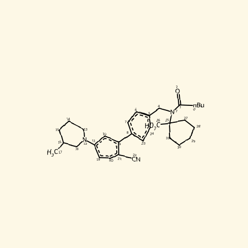 CCCCC(=O)N(Cc1ccc(-c2cc(N3CCCC(C)C3)ccc2C#N)cc1)C1(C(=O)O)CCCCC1